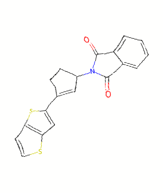 O=C1c2ccccc2C(=O)N1C1C=C(c2cc3sccc3s2)CC1